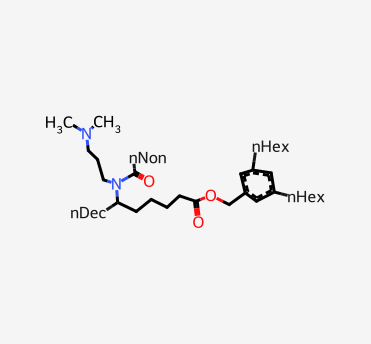 CCCCCCCCCCC(CCCCC(=O)OCc1cc(CCCCCC)cc(CCCCCC)c1)N(CCCN(C)C)C(=O)CCCCCCCCC